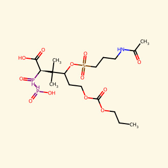 CCCOC(=O)OCCC(OS(=O)(=O)CCCNC(C)=O)C(C)(C)[C@H](C(=O)O)[PH](=O)[PH](=O)O